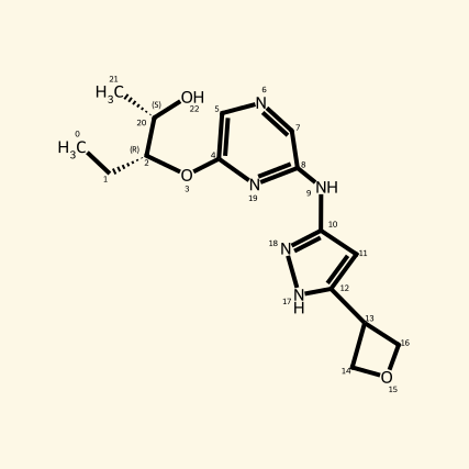 CC[C@@H](Oc1cncc(Nc2cc(C3COC3)[nH]n2)n1)[C@H](C)O